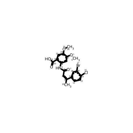 COc1cc(NC(=O)/C=C(/C)c2ccc(Cl)c(Br)c2)c(C(=O)O)cc1OC